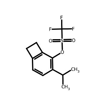 CC(C)c1ccc2c(c1OS(=O)(=O)C(F)(F)F)CC2